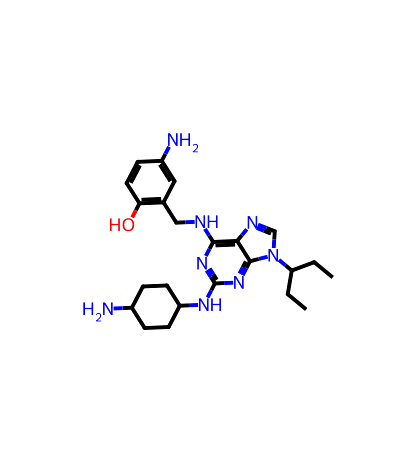 CCC(CC)n1cnc2c(NCc3cc(N)ccc3O)nc(NC3CCC(N)CC3)nc21